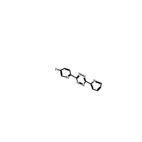 Fc1ccc(-c2nnc(-c3ccccn3)nn2)nc1